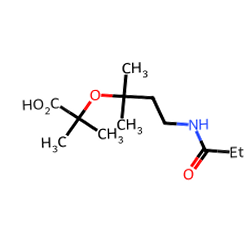 CCC(=O)NCCC(C)(C)OC(C)(C)C(=O)O